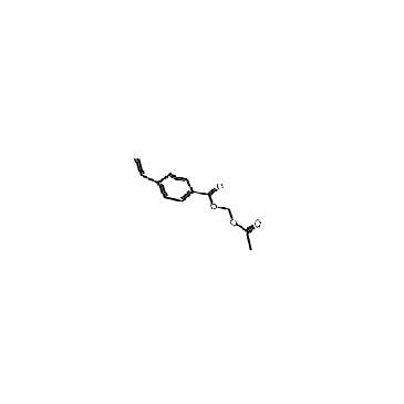 C=Cc1ccc(C(=O)OCOC(C)=O)cc1